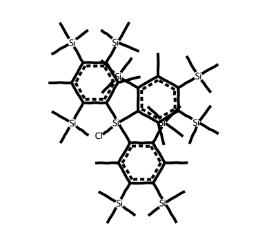 Cc1c([Si](C)(C)C)c([Si](C)(C)C)c(C)c([Si](Cl)(c2c(C)c([Si](C)(C)C)c([Si](C)(C)C)c(C)c2[Si](C)(C)C)c2c(C)c([Si](C)(C)C)c([Si](C)(C)C)c(C)c2[Si](C)(C)C)c1[Si](C)(C)C